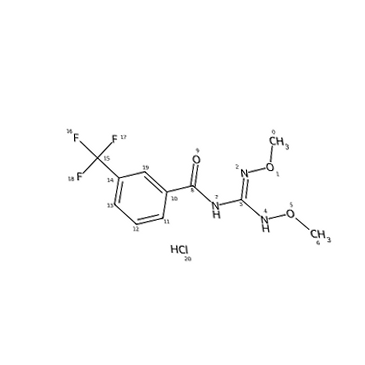 CON=C(NOC)NC(=O)c1cccc(C(F)(F)F)c1.Cl